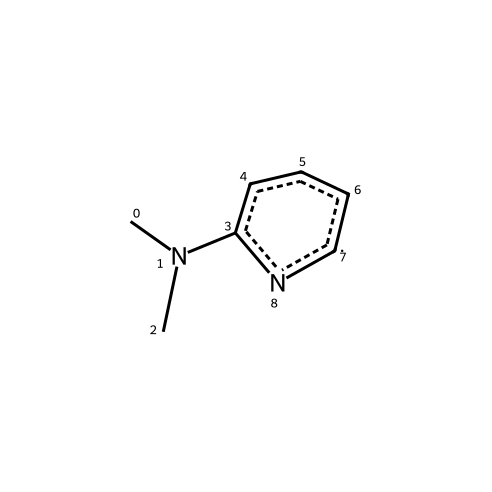 CN(C)c1ccc[c]n1